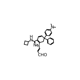 CN(C)c1ccc(C2(c3ccccc3)C=Cc3c(NC4CCC4)nn(C=CC=O)c3C2)cc1